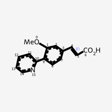 COc1cc(/C=C/C(=O)O)ccc1-c1ccccn1